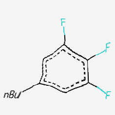 [CH2]CCCc1cc(F)c(F)c(F)c1